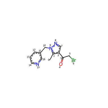 Cc1c(C(=O)CBr)cnn1Cc1cccnc1